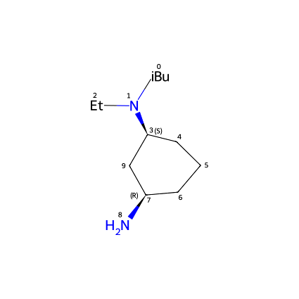 CCC(C)N(CC)[C@H]1CCC[C@@H](N)C1